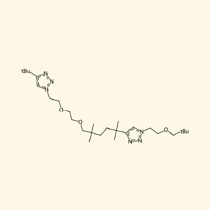 CC(C)(C)COCCn1cc(C(C)(C)CCC(C)(C)COCCOCCn2cc(C(C)(C)C)nn2)nn1